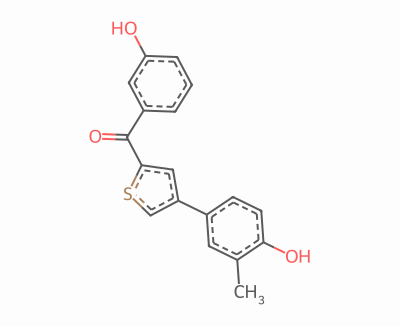 Cc1cc(-c2csc(C(=O)c3cccc(O)c3)c2)ccc1O